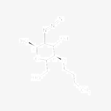 CCCCO[C@H]1C(CO)O[C@@H](O)C(N=[N+]=[N-])C1O